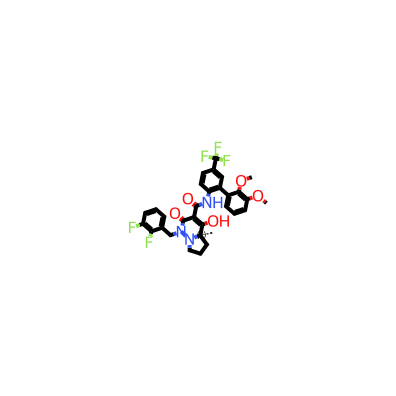 COc1cccc(-c2cc(C(F)(F)F)ccc2NC(=O)C2=C(O)[C@@]3(C)CCCN3N(Cc3cccc(F)c3F)C2=O)c1OC